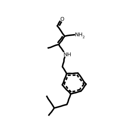 C/C(NCc1cccc(CC(C)C)c1)=C(/N)C=O